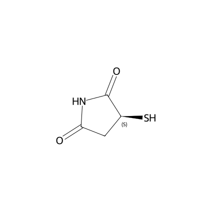 O=C1C[C@H](S)C(=O)N1